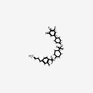 C=CCCc1ccc(C(F)(F)OC2CCC(C(F)(F)OC3CCC(c4cc(F)c(F)c(F)c4)CC3)CC2)c(F)c1